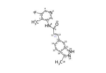 Cc1c(F)cncc1NC(=O)/C=C/c1ccc2c(C)n[nH]c2c1